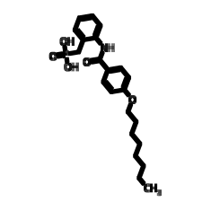 CCCCCCCCOc1ccc(C(=O)Nc2ccccc2CP(=O)(O)O)cc1